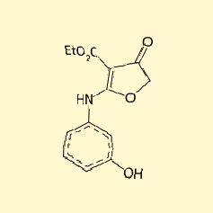 CCOC(=O)C1=C(Nc2cccc(O)c2)OCC1=O